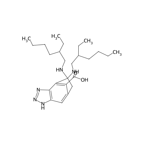 CCCCC(CC)CNC1(NCC(CC)CCCC)Cc2cc3[nH]nnc3c1c2C(=O)O